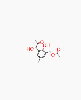 CC(=O)OCc1cc(C)cc(C(O)C(C)=O)c1O